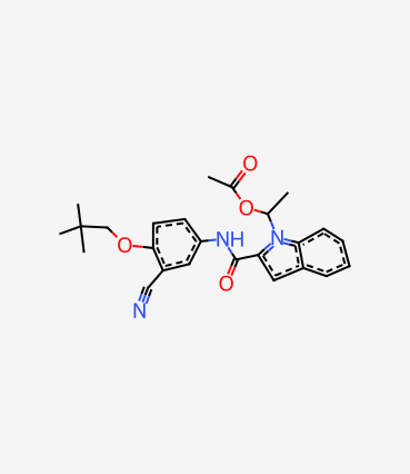 CC(=O)OC(C)n1c(C(=O)Nc2ccc(OCC(C)(C)C)c(C#N)c2)cc2ccccc21